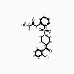 O=C(Cc1ccccc1S(=O)(=O)N1CCC(C(=O)c2ccccc2Cl)CC1)NO